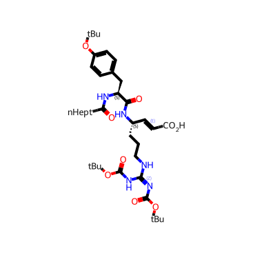 CCCCCCCC(=O)N[C@@H](Cc1ccc(OC(C)(C)C)cc1)C(=O)N[C@H](/C=C/C(=O)O)CCCN/C(=N/C(=O)OC(C)(C)C)NC(=O)OC(C)(C)C